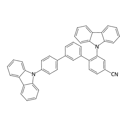 N#Cc1ccc(-c2cccc(-c3ccc(-n4c5ccccc5c5ccccc54)cc3)c2)c(-n2c3ccccc3c3ccccc32)c1